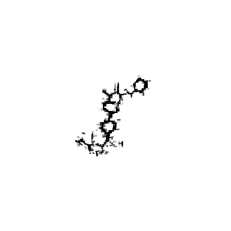 CC(NC(=O)OCc1ccccc1)c1ccc(-c2ccc([C@@H](O)[C@@H](CF)NC(=O)C(F)F)cc2)cn1